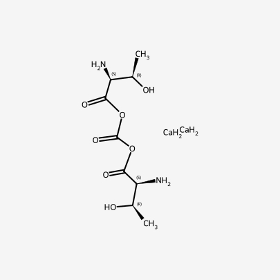 C[C@@H](O)[C@H](N)C(=O)OC(=O)OC(=O)[C@@H](N)[C@@H](C)O.[CaH2].[CaH2]